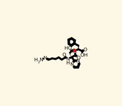 NN=CCCCCC(=O)N[C@@](CC(=O)O)(C(=O)N[C@@H](Cc1ccccc1)C(=O)O)c1ncccn1